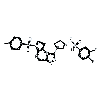 Cc1ccc(S(=O)(=O)n2ccc3c2ncc2nnc([C@@H]4CC[C@H](NS(=O)(=O)c5ccc(F)c(F)c5)C4)n23)cc1